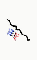 CCCCCCCCCC.N=C=O.N=C=O.N=C=O